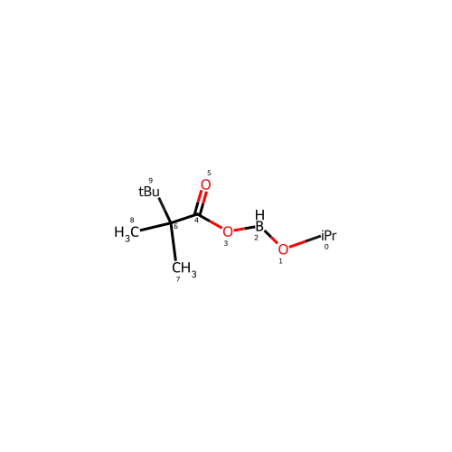 CC(C)OBOC(=O)C(C)(C)C(C)(C)C